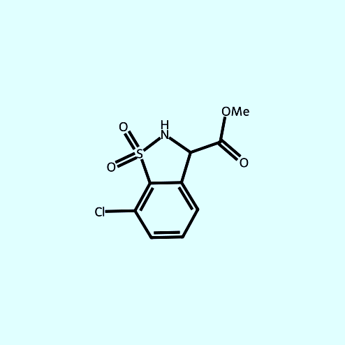 COC(=O)C1NS(=O)(=O)c2c(Cl)cccc21